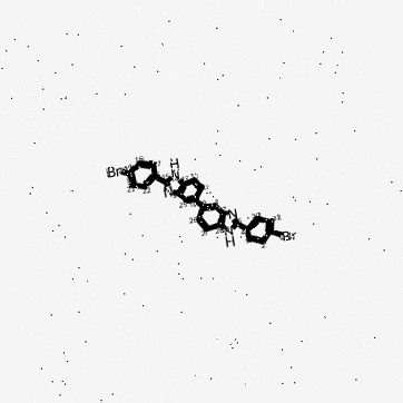 Brc1ccc(-c2nc3cc(-c4ccc5[nH]c(-c6ccc(Br)cc6)nc5c4)ccc3[nH]2)cc1